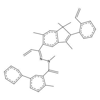 C=C/C(=N/N(C)C(=C)c1cc(-c2ccccc2)ccc1C)c1cc2c(cc1C)C(C)(C)C(c1ccccc1C=C)=C2C